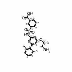 Cc1cccc(C)c1-c1cc(O[C@H](C)CN)nc(NS(=O)(=O)c2cccc(C(=O)O)c2)n1